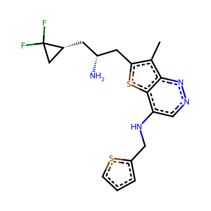 Cc1c(C[C@H](N)C[C@@H]2CC2(F)F)sc2c(NCc3cccs3)cnnc12